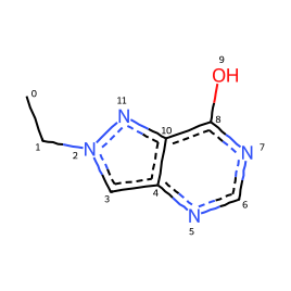 CCn1cc2ncnc(O)c2n1